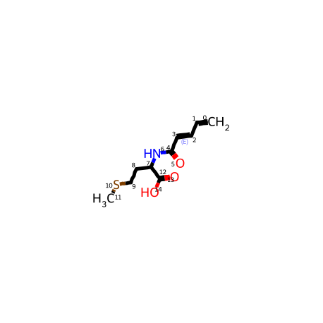 C=C/C=C/C(=O)NC(CCSC)C(=O)O